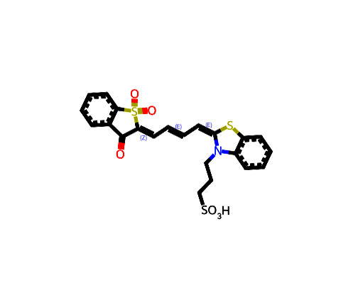 O=C1/C(=C/C=C/C=C2/Sc3ccccc3N2CCCS(=O)(=O)O)S(=O)(=O)c2ccccc21